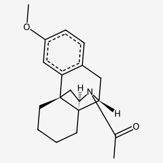 COc1ccc2c(c1)[C@@]13CCCC[C@@H]1[C@@H](C2)N(C(C)=O)CC3